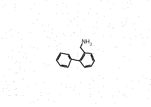 NCc1[c]cccc1-c1ccccc1